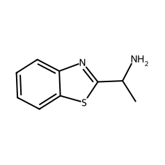 CC(N)c1nc2ccccc2s1